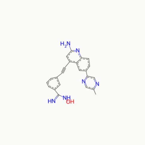 Cc1cnc(-c2ccc3nc(N)cc(C#Cc4cccc(C(=N)NO)c4)c3c2)cn1